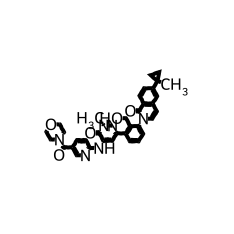 Cn1nc(-c2cccc(-n3ccc4cc(C5(C)CC5)ccc4c3=O)c2CO)cc(Nc2ccc(C(=O)N3CCOCC3)cn2)c1=O